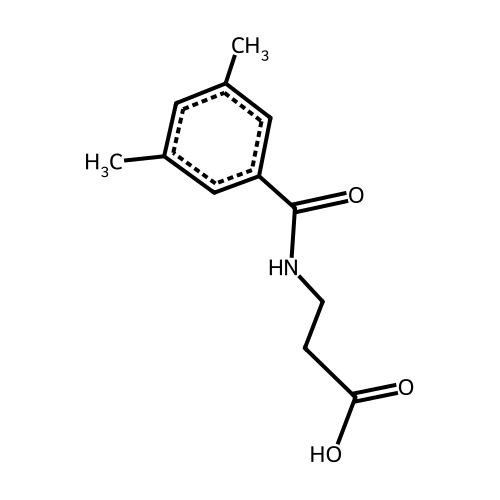 Cc1cc(C)cc(C(=O)NCCC(=O)O)c1